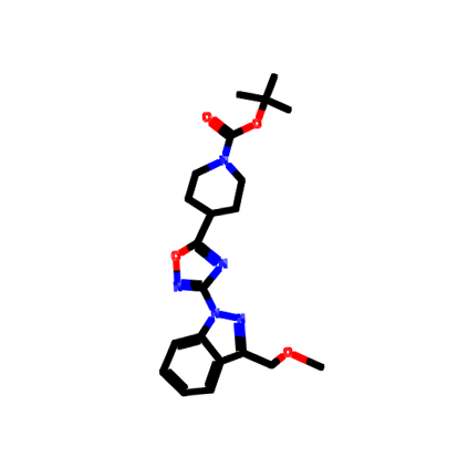 COCc1nn(-c2noc(C3CCN(C(=O)OC(C)(C)C)CC3)n2)c2ccccc12